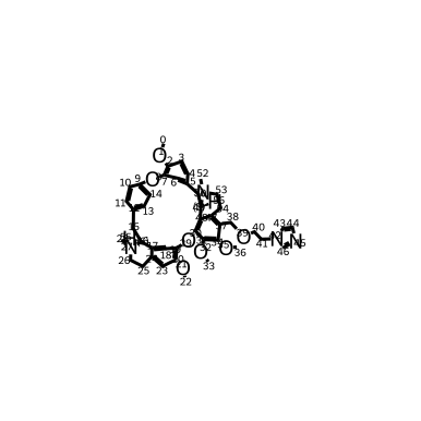 COc1ccc2cc1Oc1ccc(cc1)C[C@H]1c3cc(c(OC)cc3CCN1C)Oc1c(OC)c(OC)c(COCCn3ccnc3)c3c1[C@H](C2)N(C)CC3